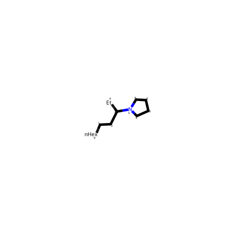 CCCCCCCCC(CC)N1CCCC1